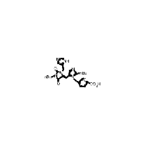 CCCCc1ncc(C=C2C(=O)N(CCCC)C(=O)N2Cc2cnc[nH]2)n1Cc1ccc(C(=O)O)cc1